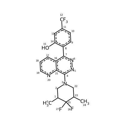 CC1CN(c2nnc(-c3ccc(C(F)(F)F)cc3O)c3cccnc23)CC(C)C1(F)F